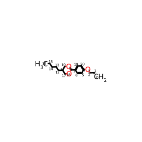 C=CCOc1ccc(C2OCC(CCCCC)CO2)cc1